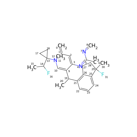 C=C/C=C(/N=C(/C)N=C)C(=C/N(C)C1(C(C)F)CC1)\C(C)c1cccc2c1CCC2(C)F